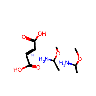 COC(C)N.COC(C)N.O=C(O)/C=C/C(=O)O